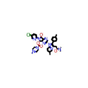 CN1CCN(C(=O)OC2c3nccnc3C(=O)N2c2ccc(Cl)cn2)CC1.Cc1ccc(-c2nc3ccc(C)cn3c2CC(=O)N(C)C)cc1